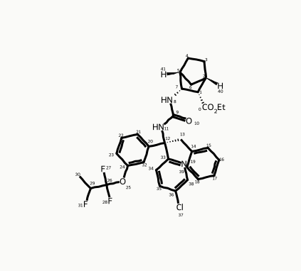 CCOC(=O)[C@H]1[C@H]2CC[C@H](C2)[C@H]1NC(=O)N[C@](Cc1ccccc1)(c1cccc(OC(F)(F)C(C)F)c1)c1ccc(Cl)cn1